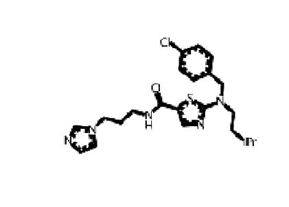 CC(C)CCN(Cc1ccc(Cl)cc1)c1ncc(C(=O)NCCCn2ccnc2)s1